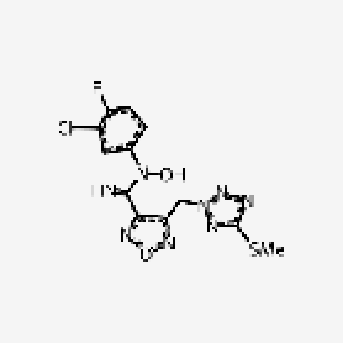 CSc1nnn(Cc2nonc2C(=N)N(O)c2ccc(F)c(Cl)c2)n1